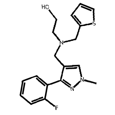 Cn1cc(CN(CCO)Cc2cccs2)c(-c2ccccc2F)n1